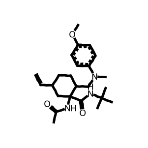 C=CC1CCC(CN(C)c2ccc(OC)cc2)C(NC(C)=O)(C(=O)NC(C)(C)C)C1